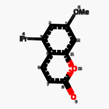 COc1cc(C(C)C)c2ccc(=O)oc2c1